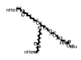 CCCCCC/C=C\COC(=O)CCCCCCCOCC(COCCOCCOCCOCCNC(=O)OC(C)(C)C)OCCCCCCCC(=O)OC/C=C\CCCCCC